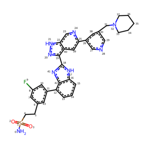 NS(=O)(=O)CCc1cc(F)cc(-c2cccc3[nH]c(-c4n[nH]c5cnc(-c6cncc(CN7CCCCC7)c6)cc45)nc23)c1